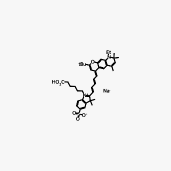 CCN1c2cc3c(cc2C(C)=CC1(C)C)C(=CC=CC=CC1=[N+](CCCCCC(=O)O)c2ccc(S(=O)(=O)[O-])cc2C1(C)C)C=C(C(C)(C)C)O3.[Na]